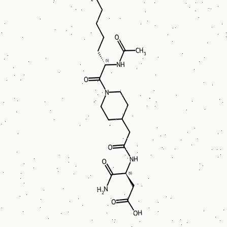 CC(=O)N[C@@H](CCCCN)C(=O)N1CCC(CC(=O)N[C@@H](CC(=O)O)C(N)=O)CC1